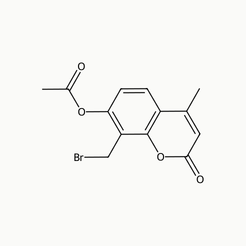 CC(=O)Oc1ccc2c(C)cc(=O)oc2c1CBr